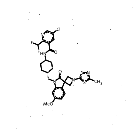 COc1ccc2c(c1)N(C[C@H]1CC[C@H](NC(=O)c3cc(Cl)cnc3C(F)F)CC1)C(=O)C21CN(c2nnc(C)s2)C1